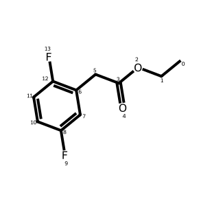 CCOC(=O)Cc1cc(F)ccc1F